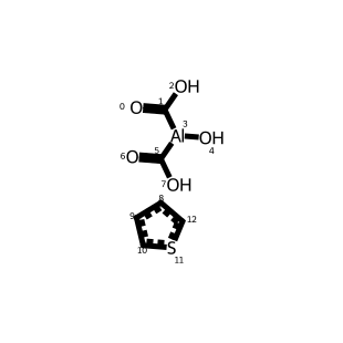 O=[C](O)[Al]([OH])[C](=O)O.c1ccsc1